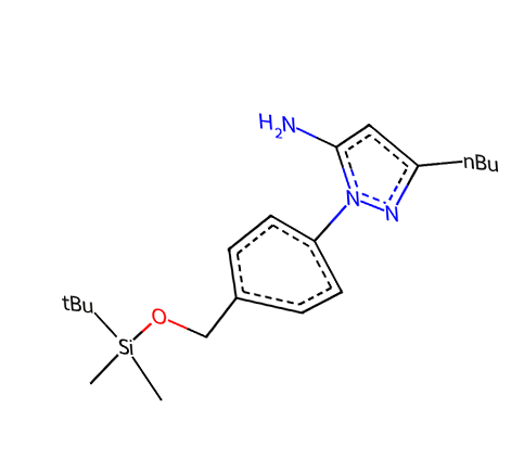 CCCCc1cc(N)n(-c2ccc(CO[Si](C)(C)C(C)(C)C)cc2)n1